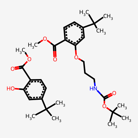 COC(=O)c1ccc(C(C)(C)C)cc1O.COC(=O)c1ccc(C(C)(C)C)cc1OCCCNC(=O)OC(C)(C)C